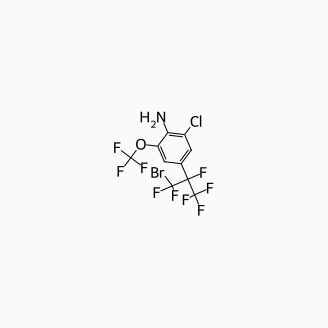 Nc1c(Cl)cc(C(F)(C(F)(F)F)C(F)(F)Br)cc1OC(F)(F)F